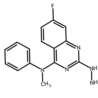 CN(c1ccccc1)c1nc(NN)nc2cc(F)ccc12